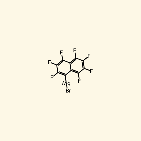 Fc1c(F)c(F)c2[c]([Mg][Br])c(F)c(F)c(F)c2c1F